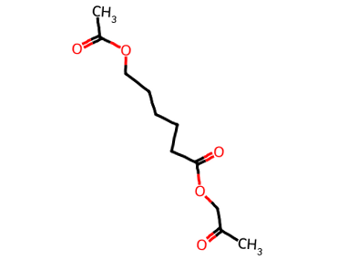 CC(=O)COC(=O)CCCCCOC(C)=O